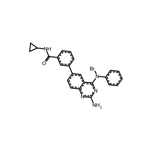 Nc1nc(N(Br)c2ccccc2)c2cc(-c3cccc(C(=O)NC4CC4)c3)ccc2n1